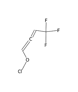 FC(F)(F)C=C=COCl